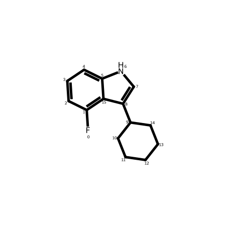 Fc1cccc2[nH]cc(C3CCCCC3)c12